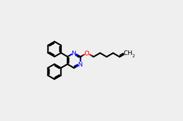 C=CCCCCOc1ncc(-c2ccccc2)c(-c2ccccc2)n1